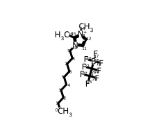 CCCCCCCCCCn1cc[n+](C)c1C.F[B-](F)(F)C(F)(F)C(F)(F)F